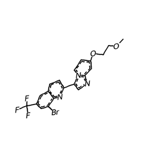 COCCOc1ccn2c(-c3ccc4cc(C(F)(F)F)cc(Br)c4n3)cnc2c1